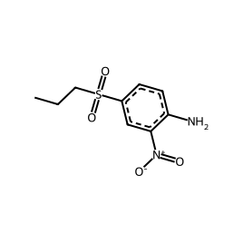 CCCS(=O)(=O)c1ccc(N)c([N+](=O)[O-])c1